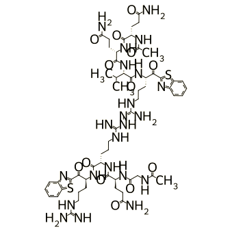 CC(=O)NCC(=O)N[C@@H](CCC(N)=O)C(=O)N[C@@H](CCCNC(=N)N/N=C(\N)NCCC[C@H](NC(=O)[C@@H](NC(=O)[C@H](CCC(N)=O)NC(=O)[C@H](CCC(N)=O)NC(C)=O)C(C)C)C(=O)c1nc2ccccc2s1)C(=O)N[C@@H](CCCNC(=N)N)C(=O)c1nc2ccccc2s1